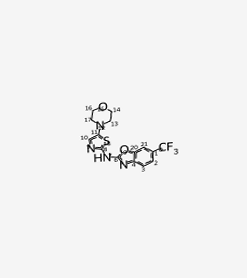 FC(F)(F)c1ccc2nc(Nc3ncc(N4CCOCC4)s3)oc2c1